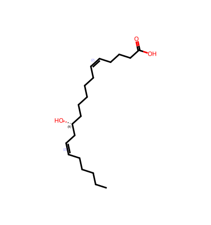 CCCCC/C=C\C[C@H](O)CCCCC/C=C\CCCC(=O)O